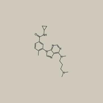 Cc1ccc(C(=O)NC2CC2)cc1-n1cnc2c(N(C)CCCN(C)C)ncnc21